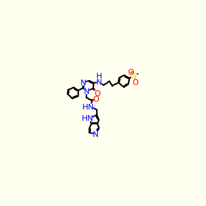 CS(=O)(=O)c1ccc(CCCNc2cnc(-c3ccccc3)n(CC(=O)NCc3cc4cnccc4[nH]3)c2=O)cc1